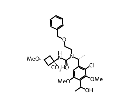 COc1cc([C@@H](C)N(CCOCc2ccccc2)C(=O)N[C@]2(C(=O)O)C[C@@H](OC)C2)c(Cl)c(OC)c1C(C)O